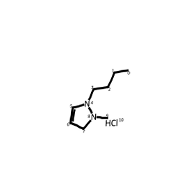 CCCCN1C=CCN1C.Cl